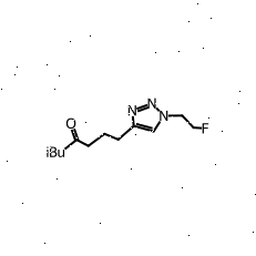 CCC(C)C(=O)CCCc1cn(CCF)nn1